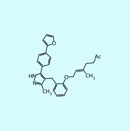 CC(=O)CC/C(C)=C/COc1ccccc1Cc1c(C)n[nH]c1-c1ccc(-c2ccco2)cc1